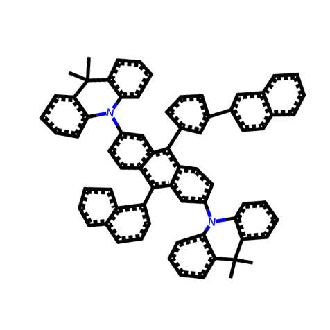 CC1(C)c2ccccc2N(c2ccc3c(-c4cccc5ccccc45)c4cc(N5c6ccccc6C(C)(C)c6ccccc65)ccc4c(-c4cccc(-c5ccc6ccccc6c5)c4)c3c2)c2ccccc21